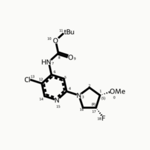 CO[C@H]1CN(c2cc(NC(=O)OC(C)(C)C)c(Cl)cn2)C[C@H]1F